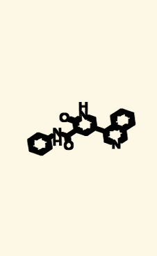 O=C(Nc1ccccc1)c1cc(-c2cncc3ccccc23)c[nH]c1=O